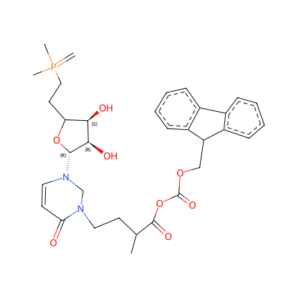 C=P(C)(C)CCC1O[C@@H](N2C=CC(=O)N(CCC(C)C(=O)OC(=O)OCC3c4ccccc4-c4ccccc43)C2)[C@H](O)[C@@H]1O